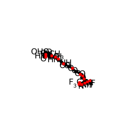 Cc1c(NCC(=O)NCCCCNC(=O)CCOCCOCCOCCOCCC(=O)N2CCC(c3cc(Nc4cc(C(F)(F)F)ccn4)nc(N4CCC(F)(F)C4)c3)CC2)cccc1C(=O)N(C=O)C1CCC(=O)NC1=O